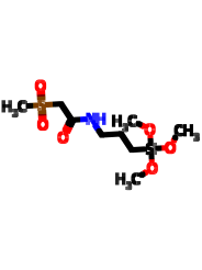 CO[Si](CCCNC(=O)CS(C)(=O)=O)(OC)OC